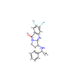 CC(NC1CCn2c1nc1cc(F)c(F)cc1c2=O)c1ccccc1